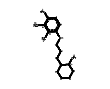 CCCc1ccc(OCCCC2CCCCC2CCC)c(C#N)c1C#N